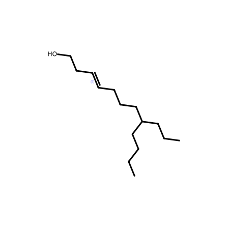 CCCCC(CCC)CCC/C=C/CCO